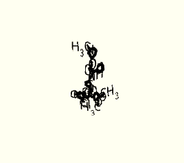 COc1ccc(C(Cc2c(Cl)c[n+]([O-])cc2Cl)OC(=O)c2ccc(CNC(C(=O)OC[C@H]3CCCN(C)C3)c3ccccc3)s2)cc1OC